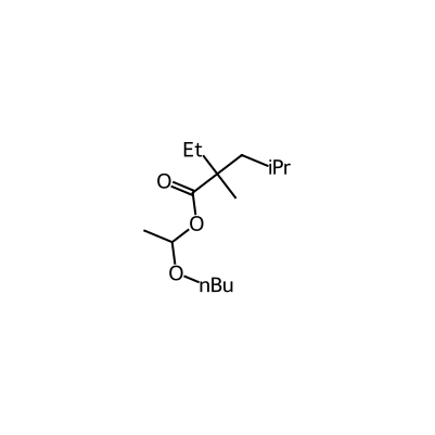 CCCCOC(C)OC(=O)C(C)(CC)CC(C)C